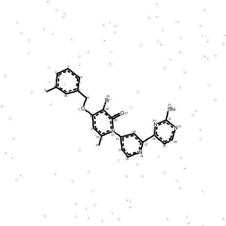 Cc1cccc(COc2cc(C)n(-c3ccnc(-c4ccnc(C(C)(C)C)n4)c3)c(=O)c2Br)c1